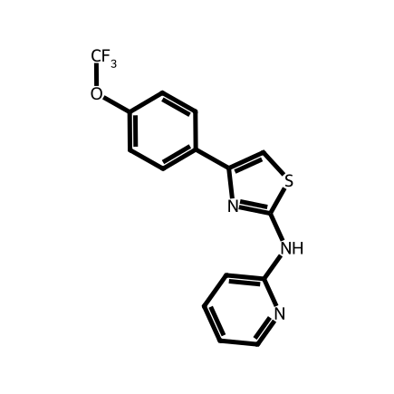 FC(F)(F)Oc1ccc(-c2csc(Nc3ccccn3)n2)cc1